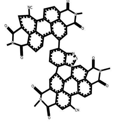 [C-]#[N+]c1cc2c3c(ccc4c5c(-c6ccc(-c7cc8c9c(cc(C#N)c%10c%11ccc%12c%13c(ccc(c7c9%10)c%13%11)C(=O)N(C)C%12=O)C(=O)N(C)C8=O)c7nsnc67)cc6c7c(ccc(c1c34)c75)C(=O)N(C)C6=O)C(=O)N(C)C2=O